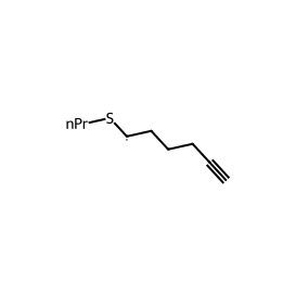 C#CCCC[CH]SCCC